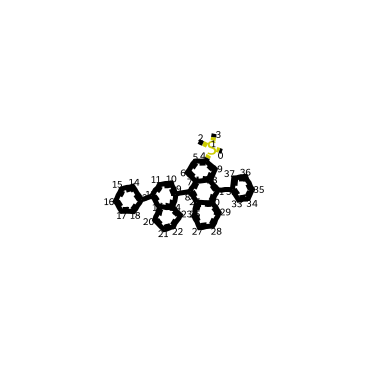 CS(C)(C)c1ccc2c(-c3ccc(-c4ccccc4)c4ccccc34)c3ccccc3c(-c3ccccc3)c2c1